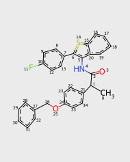 CC(C(=O)Nc1c(-c2ccc(F)cc2)sc2ccccc12)c1ccc(OCc2ccccc2)cc1